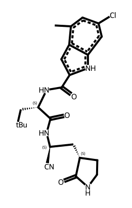 Cc1cc(Cl)cc2[nH]c(C(=O)N[C@@H](CC(C)(C)C)C(=O)N[C@H](C#N)C[C@@H]3CCNC3=O)cc12